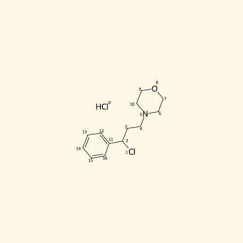 Cl.ClC(CCN1CCOCC1)c1ccccc1